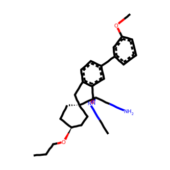 CCCO[C@H]1CC[C@]2(CC1)Cc1ccc(-c3cccc(OC)c3)cc1C21N=C(N)N(C)O1